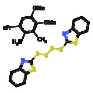 CCCc1cc(OC)c(OC)c(C)c1[SiH3].c1ccc2sc(SSSSc3nc4ccccc4s3)nc2c1